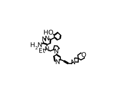 CCN(CC1CCCN1c1ccnc(C#CCN2CC3(CCOCC3)C2)c1)c1cc(-c2ccccc2O)nnc1N